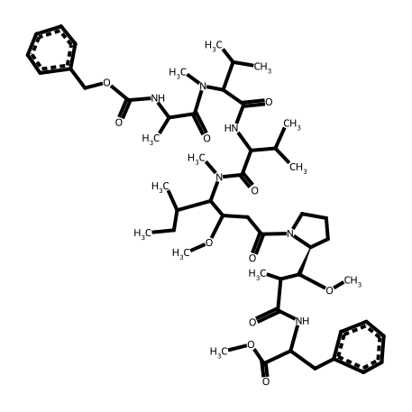 CCC(C)C(C(CC(=O)N1CCC[C@H]1C(OC)C(C)C(=O)NC(Cc1ccccc1)C(=O)OC)OC)N(C)C(=O)C(NC(=O)C(C(C)C)N(C)C(=O)C(C)NC(=O)OCc1ccccc1)C(C)C